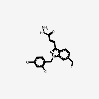 NNC(=O)/C=C/c1nn(Cc2ccc(Cl)cc2Cl)c2cc(CF)ccc12